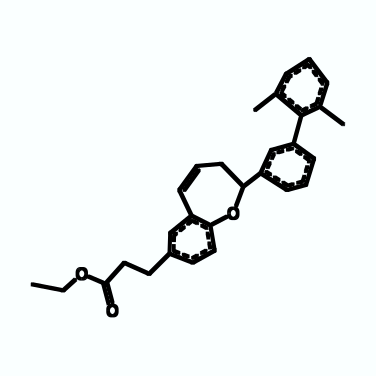 CCOC(=O)CCc1ccc2c(c1)C=CCC(c1cccc(-c3c(C)cccc3C)c1)O2